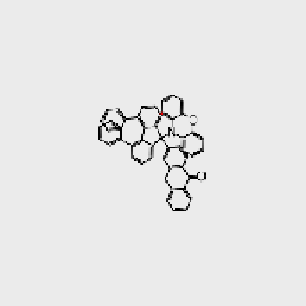 O=C1c2ccccc2Cc2cc(C3(N4c5ccccc5Oc5ccccc54)c4cccc(-c5ccccc5)c4-c4c(-c5ccccc5)cccc43)ccc21